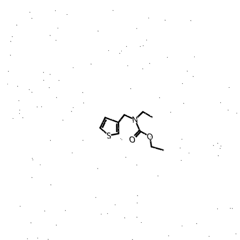 CCOC(=O)N(CC)Cc1ccsc1